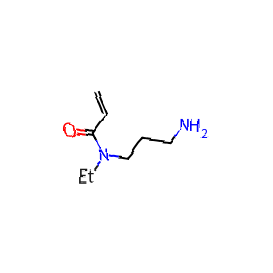 C=CC(=O)N(CC)CCCN